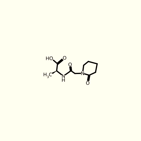 C[C@H](NC(=O)CN1CCCCC1=O)C(=O)O